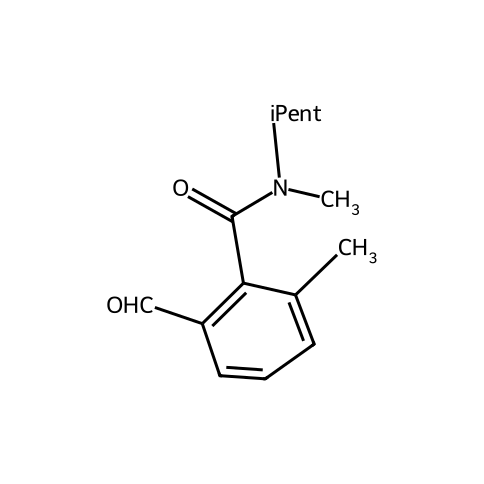 CCCC(C)N(C)C(=O)c1c(C)cccc1C=O